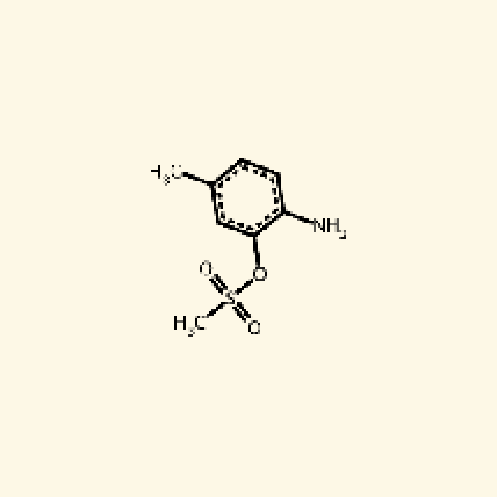 Cc1ccc(N)c(OS(C)(=O)=O)c1